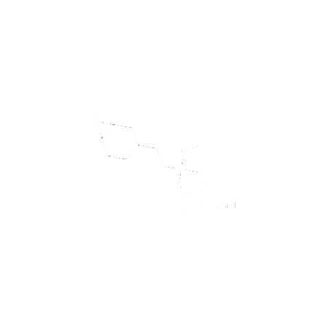 CO[Si](C)(CCC1CCC2OC2C1)O[Si](C)(C)O[SiH3]